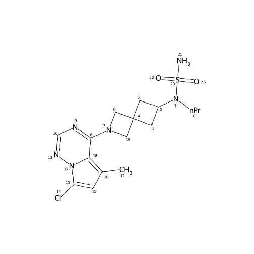 CCCN(C1CC2(C1)CN(c1ncnn3c(Cl)cc(C)c13)C2)S(N)(=O)=O